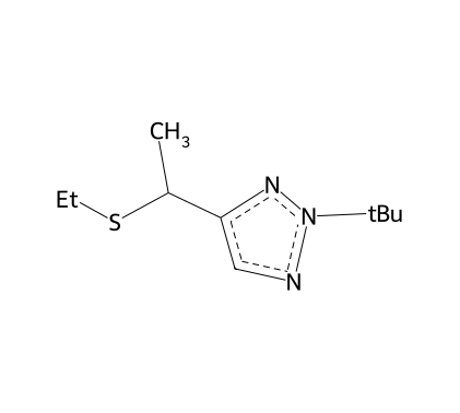 CCSC(C)c1cnn(C(C)(C)C)n1